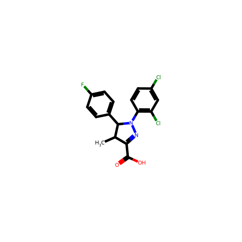 CC1C(C(=O)O)=NN(c2ccc(Cl)cc2Cl)C1c1ccc(F)cc1